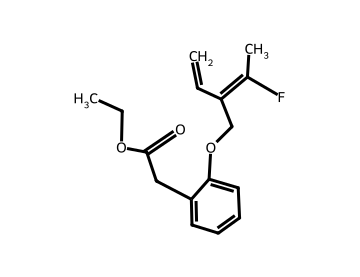 C=C/C(COc1ccccc1CC(=O)OCC)=C(\C)F